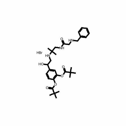 Br.CC(C)(CNC(=O)CNCc1ccccc1)NCC(O)c1ccc(OC(=O)C(C)(C)C)c(OC(=O)C(C)(C)C)c1